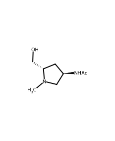 CC(=O)N[C@@H]1C[C@@H](CO)N(C)C1